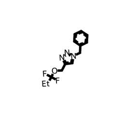 CCC(F)(F)OCc1cn(Cc2ccccc2)nn1